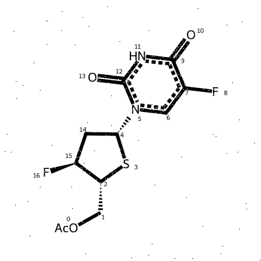 CC(=O)OC[C@H]1S[C@@H](n2cc(F)c(=O)[nH]c2=O)C[C@@H]1F